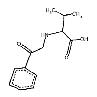 CC(C)C(NCC(=O)c1ccccc1)C(=O)O